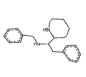 c1ccc(CNC(Cc2ccccc2)C2CCCCN2)cc1